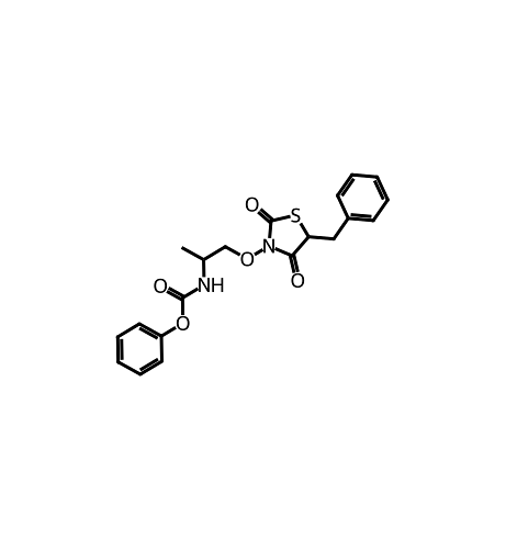 CC(CON1C(=O)SC(Cc2ccccc2)C1=O)NC(=O)Oc1ccccc1